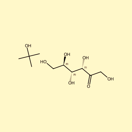 CC(C)(C)O.O=C(CO)[C@@H](O)[C@H](O)[C@H](O)CO